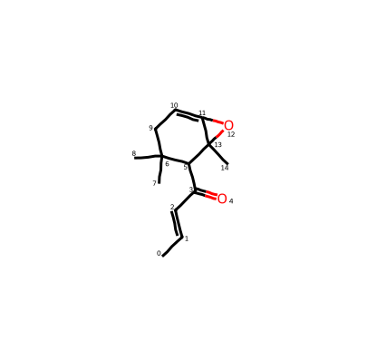 CC=CC(=O)C1C(C)(C)CC=C2OC21C